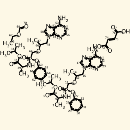 CC(C)OC(=O)C(C)NP(=O)(COC(C)Cn1cnc2c(N)ncnc21)Oc1ccccc1.CC(C)OC(=O)[C@H](C)NP(=O)(COC(C)Cn1cnc2c(N)ncnc21)Oc1ccccc1.CCOC=O.O=C(O)/C=C/C(=O)O